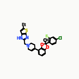 CCc1cc2[nH]c(CN3CC=C(c4cccc5c4O[C@](C)(c4ccc(Cl)cc4F)O5)CC3)nc2s1